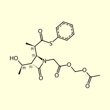 CC(=O)OCOC(=O)CN1C(=O)[C@H]([C@@H](C)O)[C@H]1[C@@H](C)C(=O)Sc1ccccc1